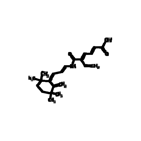 C=C/C(=C\C=C\C(=O)O)C(=O)N/C=C/C=C1\C(=C)C(C)(C)CCC1(C)C